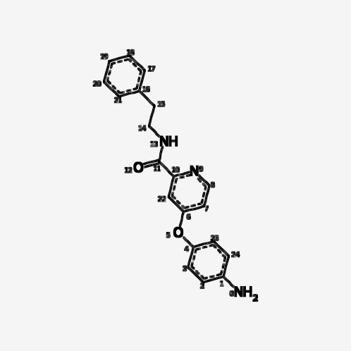 Nc1ccc(Oc2ccnc(C(=O)NCCc3ccccc3)c2)cc1